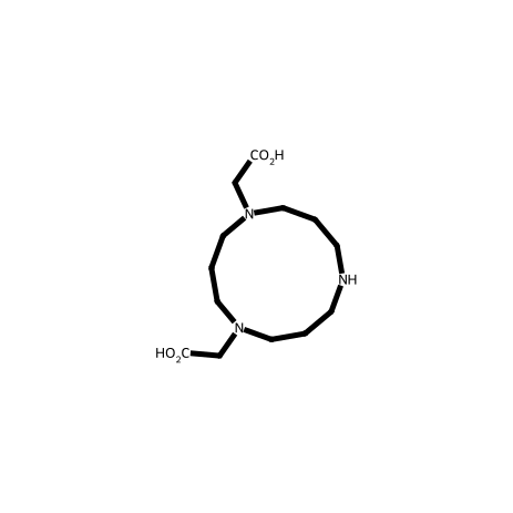 O=C(O)CN1CCCNCCCN(CC(=O)O)CCC1